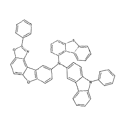 c1ccc(-c2nc3c(ccc4oc5ccc(N(c6ccc7c(c6)c6ccccc6n7-c6ccccc6)c6cccc7sc8ccccc8c67)cc5c43)o2)cc1